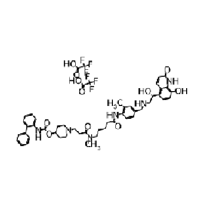 Cc1cc(CNC[C@H](O)c2ccc(O)c3[nH]c(=O)ccc23)ccc1NC(=O)CCCCN(C)C(=O)CCN1CCC(OC(=O)Nc2ccccc2-c2ccccc2)CC1.O=C(O)C(F)(F)F.O=C(O)C(F)(F)F